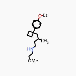 CCOc1ccc(C2(CC(C)CCNCCOC)CCC2)cc1